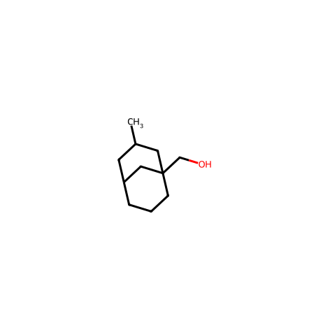 CC1CC2CCCC(CO)(C1)C2